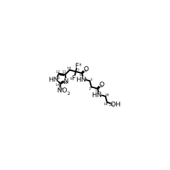 O=C(CCNC(=O)C(F)(F)Cc1c[nH]c([N+](=O)[O-])n1)NCCO